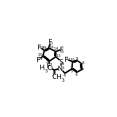 CC(C)N(Cc1ccccc1F)Sc1c(F)c(F)c(F)c(F)c1F